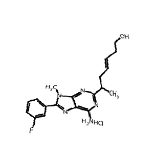 CC(C/C=C/CCO)c1nc(N)c2nc(-c3cccc(F)c3)n(C)c2n1.Cl